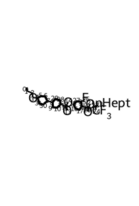 C=CCOc1ccc(-c2ccc(C(=O)Oc3ccc(C(=O)OC(CCCCCCC)C(F)(F)F)c(F)c3)cc2)cc1